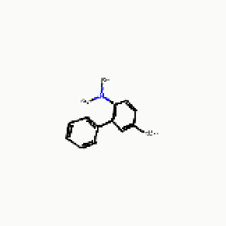 CC(C)N(c1ccc(C(C)(C)C)cc1-c1ccccc1)C(C)C